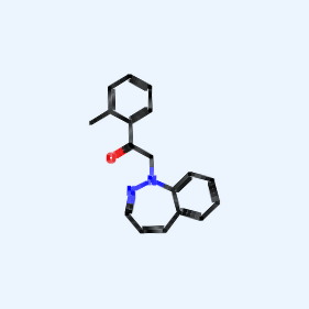 Cc1ccccc1C(=O)CN1N=CC=Cc2ccccc21